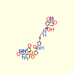 COc1cccc(Nc2c(C(N)=O)cnc3c(C)cc(S(=O)(=O)c4cccc(C(=O)Nc5ccc(C#CCCCNC[C@H](O)c6ccc(O)c7[nH]c(=O)ccc67)cc5)c4)cc23)c1